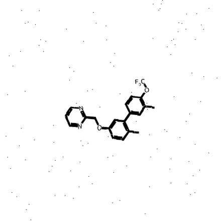 Cc1cc(-c2cc(OCc3ncccn3)ccc2C)ccc1OC(F)(F)F